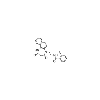 O=C1CC(=O)N(CCNC(=O)c2ccccc2I)c2ccc3ccccc3c2N1